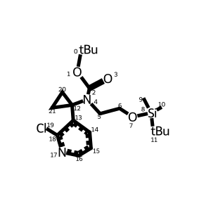 CC(C)(C)OC(=O)N(CCO[Si](C)(C)C(C)(C)C)C1(c2cccnc2Cl)CC1